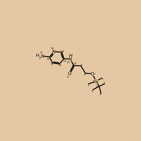 CC(C)(C)[Si](C)(C)OCCC(=O)Nc1ccc(N)nc1